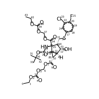 CCOC(=O)OCOC(=O)[C@H]1[C@@H]2[C@H](O)[C@@H](CSc3ccc(F)c(Cl)c3)[C@@](NC(=O)OC(C)(C)C)(C(=O)OCOC(=O)OCC)[C@H]12